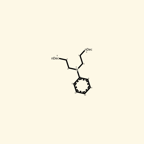 CCCCCCCCCCCCN(CCCCCCCCCCCC)c1[c]cccc1